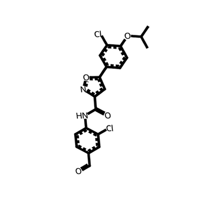 CC(C)Oc1ccc(-c2cc(C(=O)Nc3ccc(C=O)cc3Cl)no2)cc1Cl